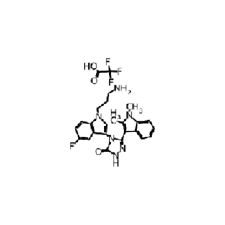 Cc1c(-c2n[nH]c(=O)n2-c2cn(CCCN)c3ccc(F)cc23)c2ccccc2n1C.O=C(O)C(F)(F)F